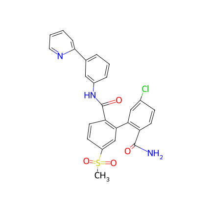 CS(=O)(=O)c1ccc(C(=O)Nc2cccc(-c3ccccn3)c2)c(-c2cc(Cl)ccc2C(N)=O)c1